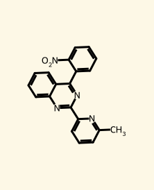 Cc1cccc(-c2nc(-c3ccccc3[N+](=O)[O-])c3ccccc3n2)n1